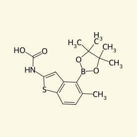 Cc1ccc2sc(NC(=O)O)cc2c1B1OC(C)(C)C(C)(C)O1